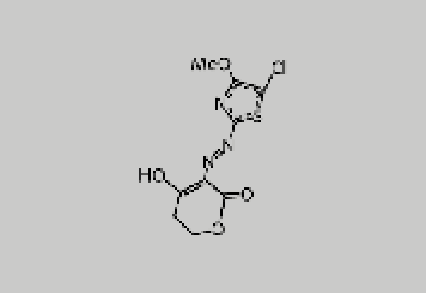 COc1nc(N=NC2=C(O)CCOC2=O)sc1Cl